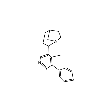 Cc1c(-c2ccccc2)[c]ncc1C1CCC2CCN1C2